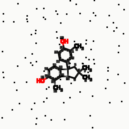 Cc1cc(C23CC(C)(C)CC2c2c3ccc(O)c2C)ccc1O